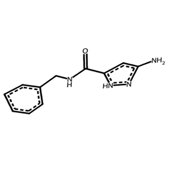 Nc1cc(C(=O)NCc2ccccc2)[nH]n1